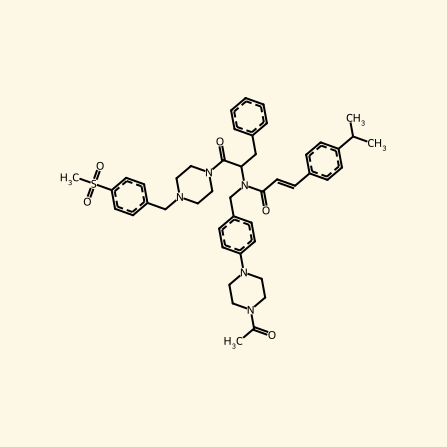 CC(=O)N1CCN(c2ccc(CN(C(=O)C=Cc3ccc(C(C)C)cc3)C(Cc3ccccc3)C(=O)N3CCN(Cc4ccc(S(C)(=O)=O)cc4)CC3)cc2)CC1